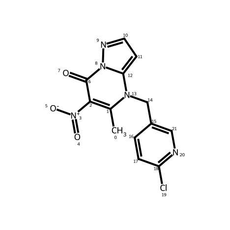 Cc1c([N+](=O)[O-])c(=O)n2nccc2n1Cc1ccc(Cl)nc1